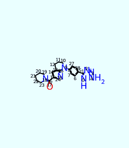 N=C(/N=N\N)c1ccc(N2CCCc3cc(C(=O)N4CCCCC4)cnc32)cc1